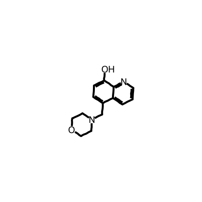 Oc1ccc(CN2CCOCC2)c2cccnc12